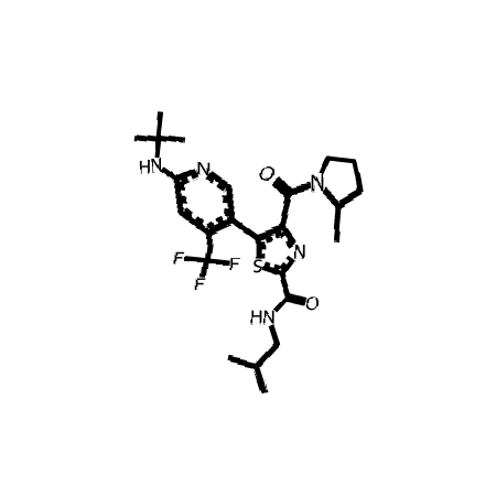 CC(C)CNC(=O)c1nc(C(=O)N2CCCC2C)c(-c2cnc(NC(C)(C)C)cc2C(F)(F)F)s1